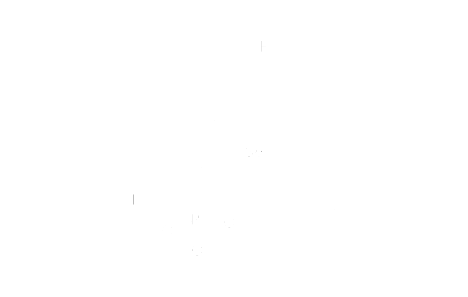 CCOP1(=O)CCC([Se]c2cccc(F)c2)=C(c2ccccc2)O1